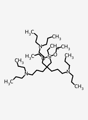 CCCN(CCC)CCCC(CCCN(CCC)CCC)(CCCN(CCC)CCC)C[Si](CC)(OCC)OCC